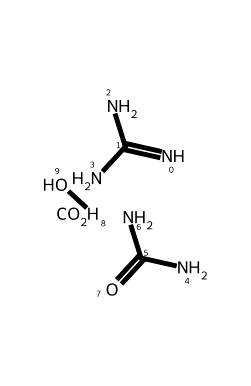 N=C(N)N.NC(N)=O.O=C(O)O